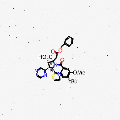 COc1cc(C(=O)N2[C@@H](c3nccs3)[C@@H](c3cnccn3)C[C@]2(CC(=O)OCc2ccccc2)C(=O)O)ccc1C(C)(C)C